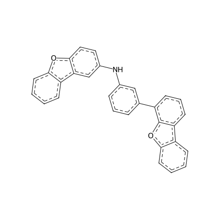 c1cc(Nc2ccc3oc4ccccc4c3c2)cc(-c2cccc3c2oc2ccccc23)c1